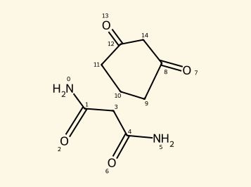 NC(=O)CC(N)=O.O=C1CCCC(=O)C1